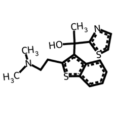 CN(C)CCc1sc2ccccc2c1C(C)(O)c1nccs1